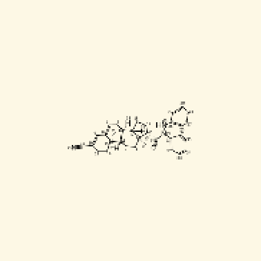 C[C@]12CC[C@H]3[C@@H](CC=C4C=C(C#N)CC[C@@]43C)[C@@H]1CC[C@@H]2C(=O)N(Nc1ccccc1)c1ccccc1